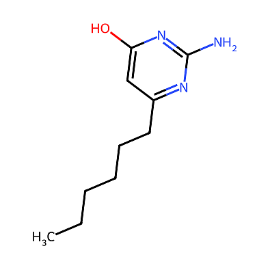 CCCCCCc1cc(O)nc(N)n1